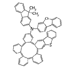 CC1(C)c2ccccc2-c2ccc(N(c3ccc4c(c3)oc3ccccc34)c3ccc4c5ccccc5c5ccccc5c5ccccc5c5cc6sc7ccccc7c6cc5c4c3)cc21